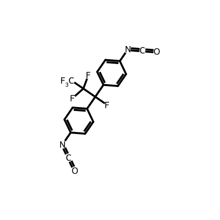 O=C=Nc1ccc(C(F)(c2ccc(N=C=O)cc2)C(F)(F)C(F)(F)F)cc1